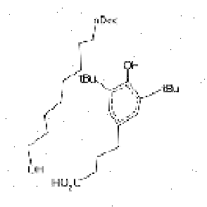 CC(C)(C)c1cc(CCCC(=O)O)cc(C(C)(C)C)c1O.CCCCCCCCCCCCCCCCCCO